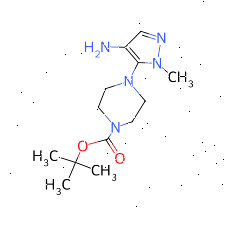 Cn1ncc(N)c1N1CCN(C(=O)OC(C)(C)C)CC1